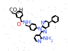 Nc1ncccc1-c1nc2cc(-c3ccccc3)cnc2n1-c1ccc(CNC(=O)c2cccc(CC(=O)O)c2)cc1